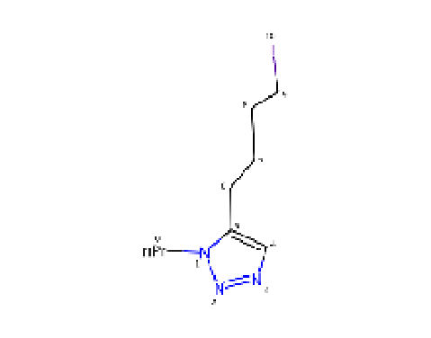 CCCn1nncc1CCCCI